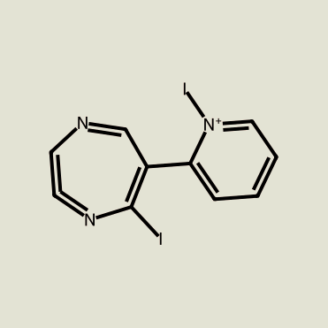 IC1=C(c2cccc[n+]2I)C=NC=C=N1